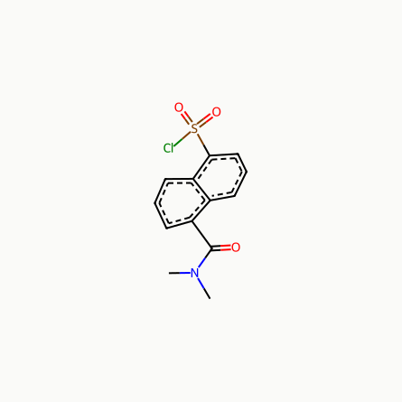 CN(C)C(=O)c1cccc2c(S(=O)(=O)Cl)cccc12